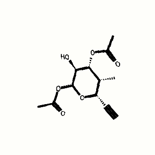 C#C[C@@H]1OC(OC(C)=O)[C@@H](O)[C@H](OC(C)=O)[C@@H]1C